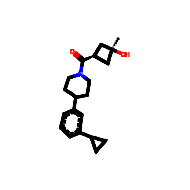 C[C@]1(O)C[C@@H](C(=O)N2CCC(c3cccc(C4CC4)c3)CC2)C1